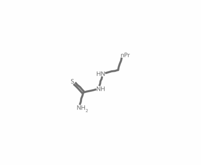 CCCCNNC(N)=S